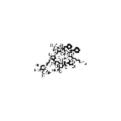 CC(=O)NC(CSC1CC(=O)N(CCCCN2C[C@@H](O)[C@@H](O)[C@H](O)[C@H]2CO)C1=O)C(=O)NC(Cc1ccccc1)C(=O)NC(NC(NC(=O)C(CC(=O)O)NC(=O)C(CCC(=O)O)NC(=O)C(O)CC(C)C)C(=O)CCCCN)C(=O)Cc1ccccc1